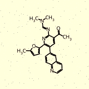 CC(=O)c1cc(-c2ccc3ncccc3c2)c(-c2ccc(C)o2)nc1/N=C/N(C)C